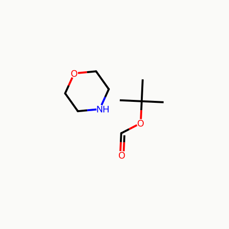 C1COCCN1.CC(C)(C)OC=O